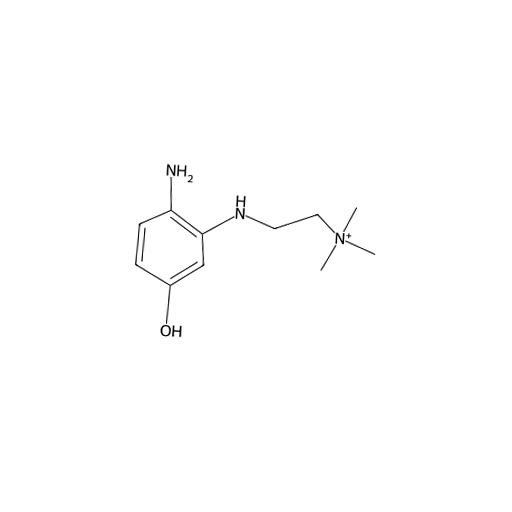 C[N+](C)(C)CCNc1cc(O)ccc1N